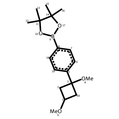 COC1CC(OC)(c2ccc(B3OC(C)(C)C(C)(C)O3)cc2)C1